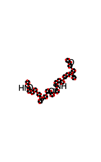 c1ccc(C2Nc3ccc4ccc5c(-c6ccc(N(c7ccccc7)c7cccc(-c8cccc9oc%10c(-c%11cccc(C%12Nc%13c(ccc%14ccc%15c(-c%16ccc%17ccc(N(c%18ccccc%18)c%18cccc(-c%19ccc%20c(c%19)oc%19ccccc%19%20)c%18)cc%17c%16)cccc%15c%13%14)S%12)c%11)cccc%10c89)c7)cc6)cccc5c4c3O2)cc1